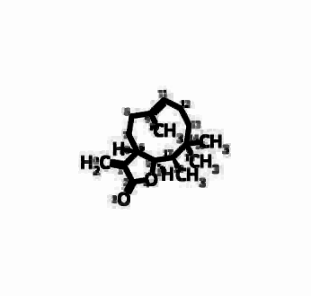 C=C1C(=O)O[C@H]2[C@H]1CC/C(C)=C/CCC(C)(C)[C@H]2C